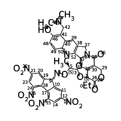 CC[C@@]1(OC(=O)[C@H](C)ON=C2c3cc([N+](=O)[O-])cc([N+](=O)[O-])c3-c3c2cc([N+](=O)[O-])cc3[N+](=O)[O-])C(=O)OCc2c1cc1n(c2=O)Cc2cc3c(CN(C)C)c(O)ccc3nc2-1